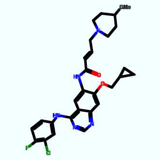 COC1CCN(CC=CC(=O)Nc2cc3c(Nc4ccc(F)c(Cl)c4)ncnc3cc2OCC2CC2)CC1